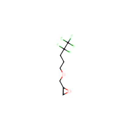 FC(F)(F)C(F)(F)CCCOCC1CO1